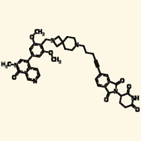 COc1cc(-c2cn(C)c(=O)c3cnccc23)cc(OC)c1CN1CC2(CCN(CCCC#Cc3ccc4c(c3)C(=O)N(C3CCC(=O)NC3=O)C4=O)CC2)C1